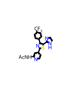 CC(=O)Nc1cc(-c2nc(-c3ccc(C(F)(F)F)cc3)c(-c3ncc[nH]3)s2)ccn1